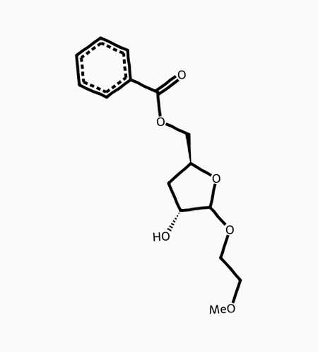 COCCOC1O[C@H](COC(=O)c2ccccc2)C[C@H]1O